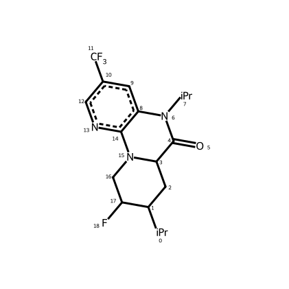 CC(C)C1CC2C(=O)N(C(C)C)c3cc(C(F)(F)F)cnc3N2CC1F